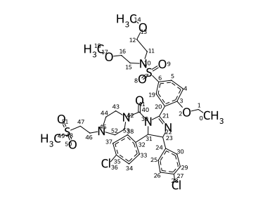 CCOc1ccc(S(=O)(=O)N(CCOC)CCOC)cc1C1=NC(c2ccc(Cl)cc2)C(c2ccc(Cl)cc2)N1C(=O)N1CCN(CCS(C)(=O)=O)CC1